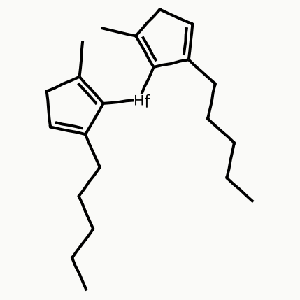 CCCCCC1=CCC(C)=[C]1[Hf][C]1=C(C)CC=C1CCCCC